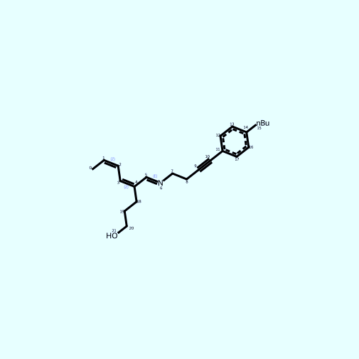 C\C=C/C=C(\C=N\CCC#Cc1ccc(CCCC)cc1)CCCO